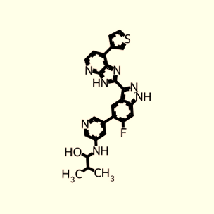 CC(C)C(O)Nc1cncc(-c2cc3c(-c4nc5c(-c6ccsc6)ccnc5[nH]4)n[nH]c3cc2F)c1